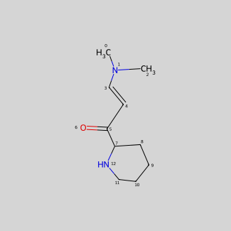 CN(C)/C=C/C(=O)C1CCCCN1